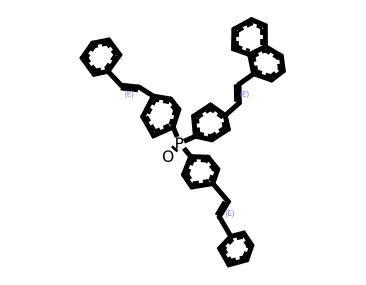 O=P(c1ccc(/C=C/c2ccccc2)cc1)(c1ccc(/C=C/c2ccccc2)cc1)c1ccc(/C=C/c2cccc3ccccc23)cc1